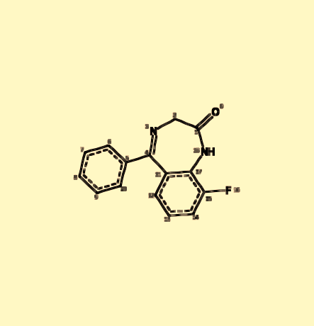 O=C1CN=C(c2ccccc2)c2cccc(F)c2N1